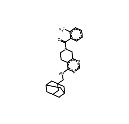 O=C(c1ccccc1C(F)(F)F)N1CCc2c(ncnc2NCC23CC4CC(CC(C4)C2)C3)C1